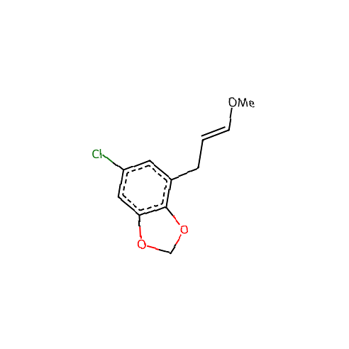 CO/C=C/Cc1cc(Cl)cc2c1OCO2